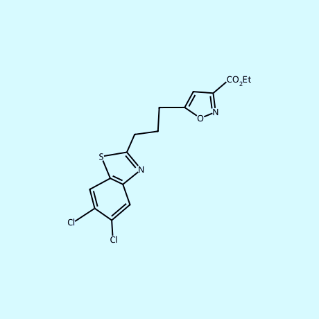 CCOC(=O)c1cc(CCCc2nc3cc(Cl)c(Cl)cc3s2)on1